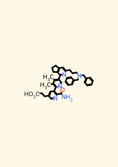 Cc1c(-c2nc(CCCN(Cc3ccccc3)Cc3ccccc3)cc3c2CCC3)cnc(-c2cc(CCC(=O)O)cnc2C(N)=O)c1C